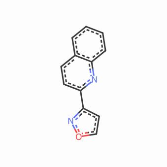 c1ccc2nc(-c3ccon3)ccc2c1